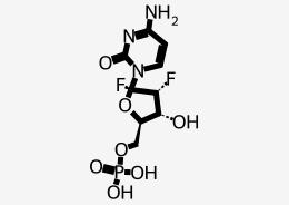 Nc1ccn([C@]2(F)O[C@H](COP(=O)(O)O)[C@@H](O)[C@H]2F)c(=O)n1